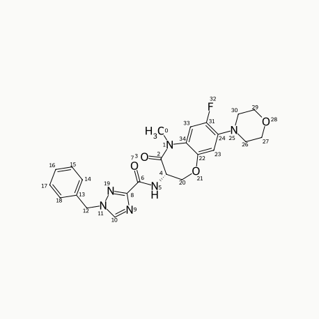 CN1C(=O)[C@@H](NC(=O)c2ncn(Cc3ccccc3)n2)COc2cc(N3CCOCC3)c(F)cc21